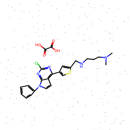 CN(C)CCCNCc1cc(-c2nc(Cl)nc3c2ccn3-c2ccccc2)cs1.O=C(O)C(=O)O